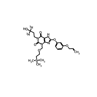 [2H]C([2H])(O)CCn1c(=O)c2[nH]c(Oc3cccc(OCC=C)c3)nc2n(COCC[Si](C)(C)C)c1=O